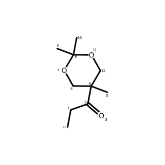 CCC(=O)C1(C)COC(C)(C)OC1